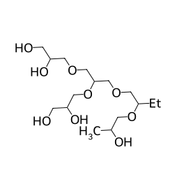 CCC(COCC(COCC(O)CO)OCC(O)CO)OCC(C)O